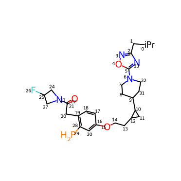 CC(C)Cc1noc(N2CCC(C3CC3CCOc3ccc(CC(=O)N4CC(F)C4)c(P)c3)CC2)n1